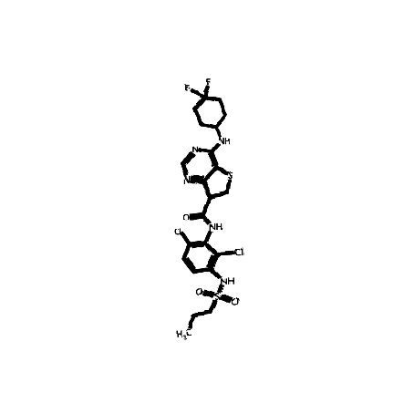 CCCS(=O)(=O)Nc1ccc(Cl)c(NC(=O)C2CSc3c(NC4CCC(F)(F)CC4)ncnc32)c1Cl